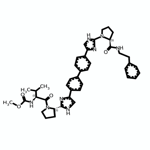 COC(=O)N[C@H](C(=O)N1CCC[C@H]1c1nc(-c2ccc(-c3ccc(-c4c[nH]c(N5CCC[C@H]5C(=O)NCCc5ccccc5)n4)cc3)cc2)c[nH]1)C(C)C